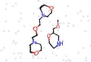 C1CN(CCOCCN2CCOCC2)CCO1.COCC1CNCCO1